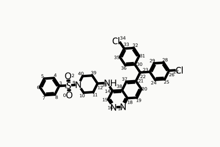 O=S(=O)(c1ccccc1)N1CCC(Nc2cnnc3ccc(C(c4ccc(Cl)cc4)c4ccc(Cl)cc4)cc23)CC1